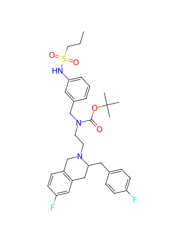 CCCS(=O)(=O)Nc1cccc(CN(CCN2Cc3ccc(F)cc3CC2Cc2ccc(F)cc2)C(=O)OC(C)(C)C)c1